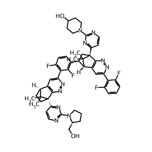 CC1(C)[C@@H]2c3cc(-c4c(F)cccc4F)nnc3[C@@]1(c1ccnc(N3CCC(O)CC3)n1)CC2c1ccc(F)c(-c2cc3c(nn2)[C@@]2(c4ccnc(N5CCC[C@H]5CO)n4)CC[C@@H]3C2(C)C)c1F